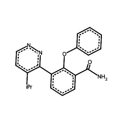 CC(C)c1ccnnc1-c1cccc(C(N)=O)c1Oc1ccccc1